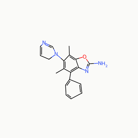 Cc1c(N2C=NC=CC2)c(C)c2oc(N)nc2c1-c1ccccc1